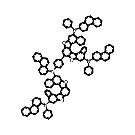 c1ccc(N(c2cccc3c2ccc2ccccc23)c2cc3oc4ccc5oc6cc(N(c7ccc(-c8cc9oc%10cc(N(c%11ccccc%11)c%11ccc%12c(ccc%13ccccc%13%12)c%11)c%11ccccc%11c%10c9c9c8oc8cc(N(c%10ccccc%10)c%10ccc%11c(ccc%12ccccc%12%11)c%10)c%10ccccc%10c89)cc7)c7cccc8c7ccc7ccccc78)c7ccccc7c6c5c4c3c3ccccc23)cc1